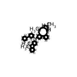 C[C@H]1Cc2cc(N(c3cccc(-c4ccccc4)c3)c3ccc4c(c3)C(C)(C)c3ccccc3-4)ccc2-c2ccccc2C[C@H]2C[C@@H](C)C[C@@H](C1)C2